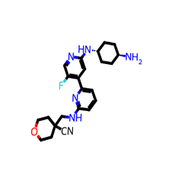 N#CC1(CNc2cccc(-c3cc(N[C@H]4CC[C@H](N)CC4)ncc3F)n2)CCOCC1